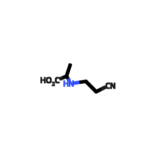 CC(NCCC#N)C(=O)O